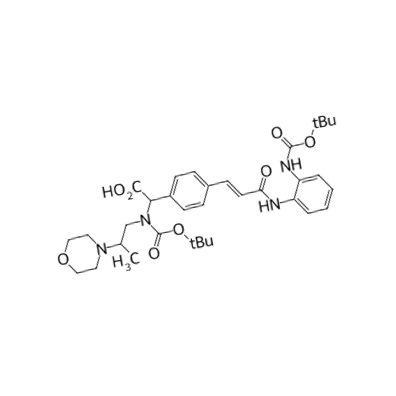 CC(CN(C(=O)OC(C)(C)C)C(C(=O)O)c1ccc(C=CC(=O)Nc2ccccc2NC(=O)OC(C)(C)C)cc1)N1CCOCC1